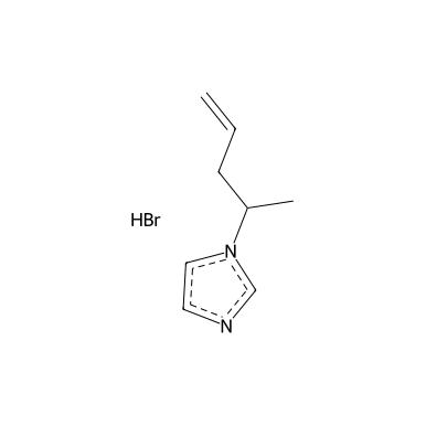 Br.C=CCC(C)n1ccnc1